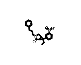 CCC1(c2cccc([N+](=O)[O-])c2)C2CN(CCCc3ccccc3)C(=O)C21